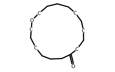 O=C1CCCCCCCCCOCCCCCC1